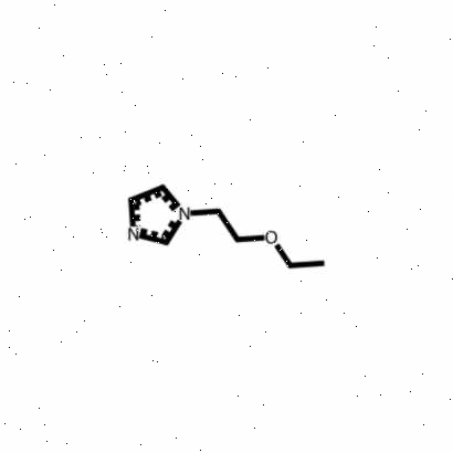 CCOCCn1ccnc1